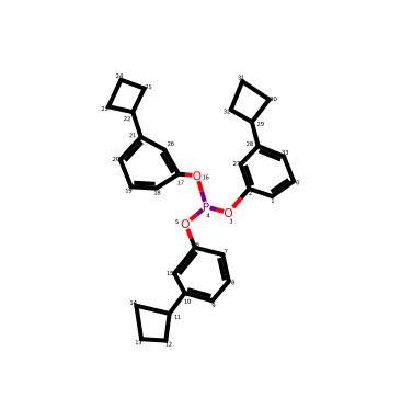 c1cc(OP(Oc2cccc(C3CCC3)c2)Oc2cccc(C3CCC3)c2)cc(C2CCC2)c1